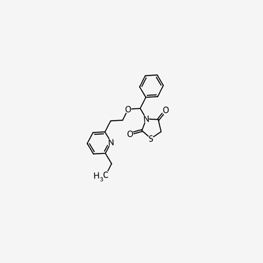 CCc1cccc(CCOC(c2ccccc2)N2C(=O)CSC2=O)n1